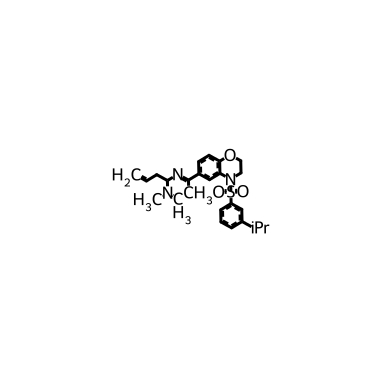 C=CCC(/N=C(\C)c1ccc2c(c1)N(S(=O)(=O)c1cccc(C(C)C)c1)CCO2)N(C)C